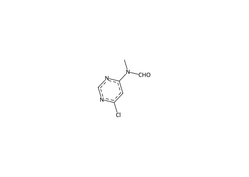 CN(C=O)c1cc(Cl)ncn1